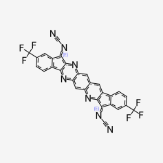 N#C/N=c1\c2cc(C(F)(F)F)ccc2c2cc3cc4nc5/c(=N/C#N)c6cc(C(F)(F)F)ccc6c5nc4cc3nc12